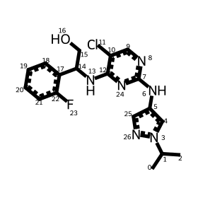 CC(C)n1cc(Nc2ncc(Cl)c(NC(CO)c3ccccc3F)n2)cn1